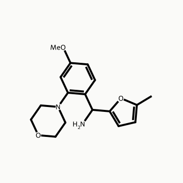 COc1ccc(C(N)c2ccc(C)o2)c(N2CCOCC2)c1